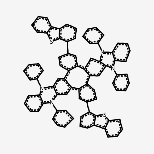 c1ccc(-n2c3ccccc3n(-c3ccccc3)c3cc4c5cc(-c6cccc7c6sc6ccccc67)ccc5c5cc6c(cc5c5cc(-c7cccc8c7sc7ccccc78)ccc5c4cc32)n(-c2ccccc2)c2ccccc2n6-c2ccccc2)cc1